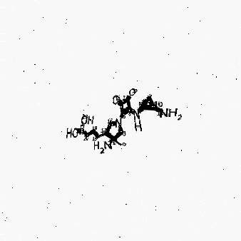 C[C@]1(N)CN(c2c(NC3CC3N)c(=O)c2=O)C[C@@H]1CCCB(O)O